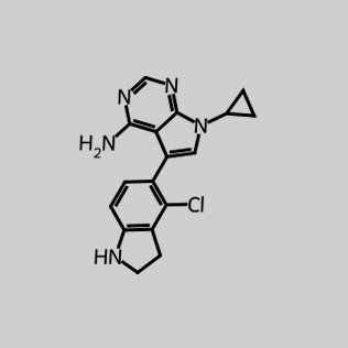 Nc1ncnc2c1c(-c1ccc3c(c1Cl)CCN3)cn2C1CC1